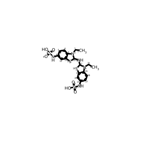 CCN1c2ccc(NS(=O)(=O)O)cc2SC1NC1Sc2cc(NS(=O)(=O)O)ccc2N1CC